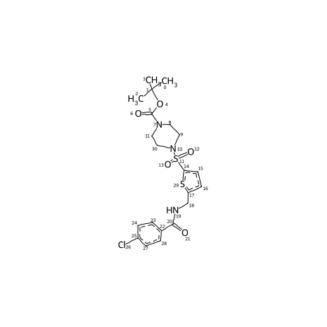 CC(C)(C)OC(=O)N1CCN(S(=O)(=O)c2ccc(CNC(=O)c3ccc(Cl)cc3)s2)CC1